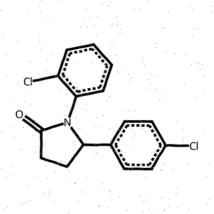 O=C1CCC(c2ccc(Cl)cc2)N1c1ccccc1Cl